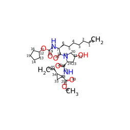 C=CCCCCC[C@H](NC(=O)OC1CCCC1)C(=O)N1CC(O)C[C@H]1C(=O)N[C@]1(C(=O)OC)C[C@H]1C=C